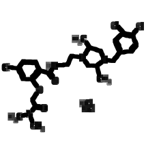 CC1CN(Cc2ccc(Cl)c(Cl)c2)C(C)CN1CCNC(=O)c1ccc(Cl)cc1OCC(=O)N(C)C.Cl.Cl